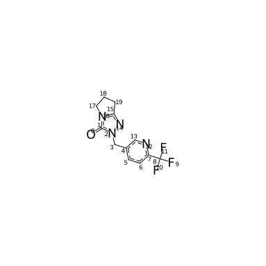 O=c1n(Cc2ccc(C(F)(F)F)nc2)nc2n1CCC2